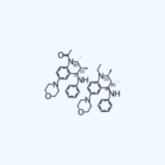 CC(=O)N1c2ccc(N3CCOCC3)cc2[C@@H](Nc2ccccc2)[C@H](C)[C@H]1C.CCN1c2ccc(N3CCOCC3)cc2[C@H](Nc2ccccc2)[C@@H](C)[C@@H]1C